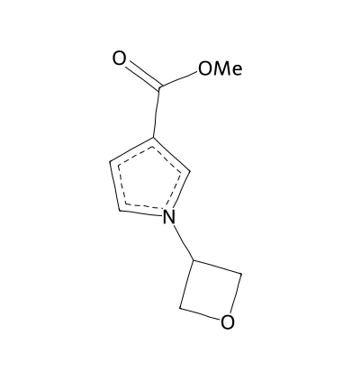 COC(=O)c1ccn(C2COC2)c1